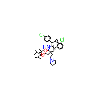 CC(C)[Si](OCCC1(CCN2CCCC2)C[C@H](c2cccc(Cl)c2)[C@@H](C(c2ccc(Cl)cc2)C2CC2)NC1=O)(C(C)C)C(C)C